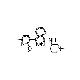 COc1nc(C)ccc1-c1nnc(N[C@@H]2CCCN(C)C2)c2ccccc12